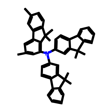 Cc1ccc2c(c1)-c1cc(C)cc(N(c3ccc4c(c3)C(C)(C)c3ccccc3-4)c3ccc4c(c3)C(C)(C)c3ccccc3-4)c1C2(C)C